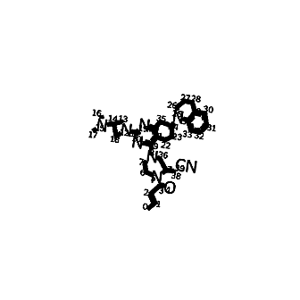 CC=CC(=O)N1CCN(c2nc(N3CC(N(C)C)C3)nc3c2CCC(N2CCCc4ccccc42)C3)CC1CC#N